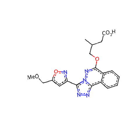 COCc1cc(-c2nnc3c4ccccc4c(OCC(C)CC(=O)O)nn23)no1